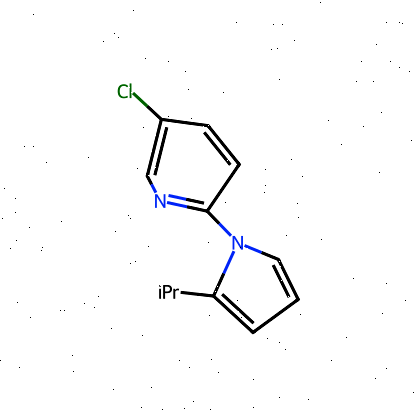 CC(C)c1cccn1-c1ccc(Cl)cn1